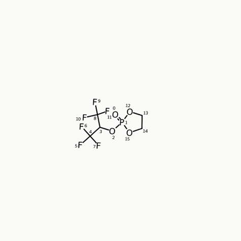 O=P1(OC(C(F)(F)F)C(F)(F)F)OCCO1